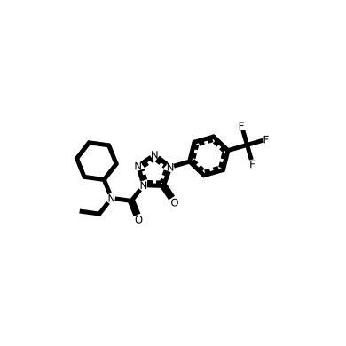 CCN(C(=O)n1nnn(-c2ccc(C(F)(F)F)cc2)c1=O)C1CCCCC1